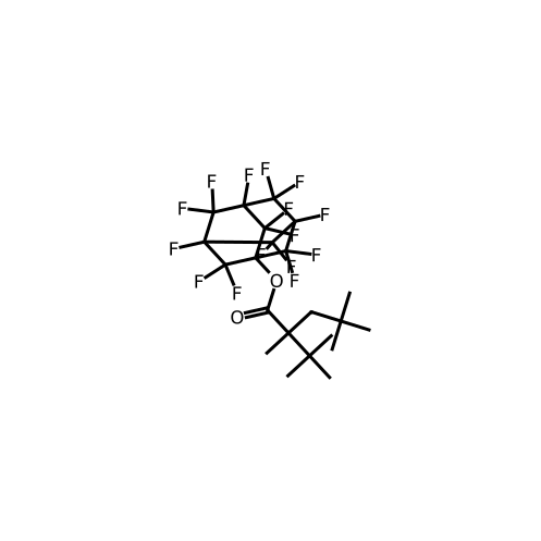 CC(C)(C)CC(C)(C(=O)OC12C(F)(F)C3(F)C(F)(F)C(F)(C(F)(F)C(F)(C3(F)F)C1(F)F)C2(F)F)C(C)(C)C